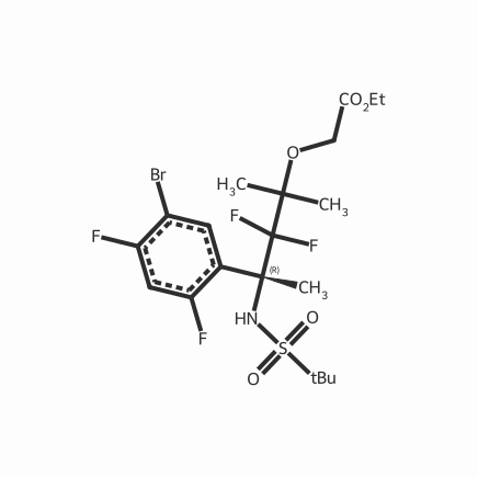 CCOC(=O)COC(C)(C)C(F)(F)[C@](C)(NS(=O)(=O)C(C)(C)C)c1cc(Br)c(F)cc1F